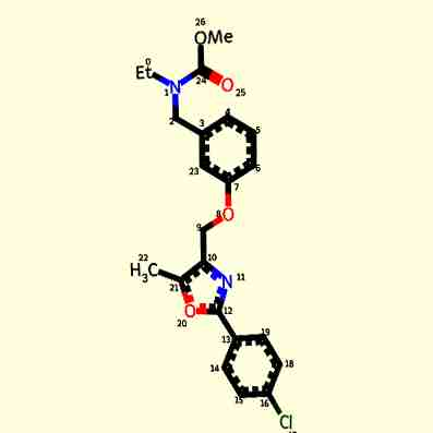 CCN(Cc1cccc(OCc2nc(-c3ccc(Cl)cc3)oc2C)c1)C(=O)OC